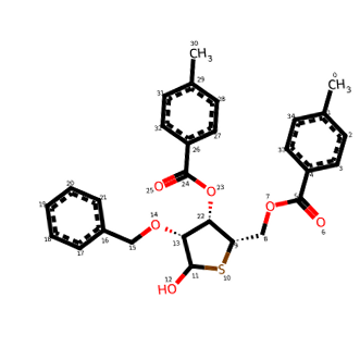 Cc1ccc(C(=O)OC[C@@H]2SC(O)[C@H](OCc3ccccc3)[C@@H]2OC(=O)c2ccc(C)cc2)cc1